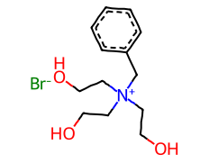 OCC[N+](CCO)(CCO)Cc1ccccc1.[Br-]